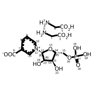 NCC(=O)O.NCC(=O)O.O=C([O-])c1ccc[n+]([C@@H]2O[C@H](COP(=O)(O)O)[C@@H](O)[C@H]2O)c1